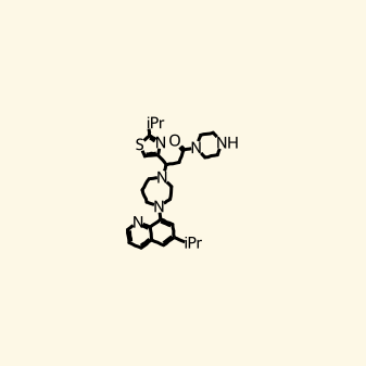 CC(C)c1cc(N2CCCN(C(CC(=O)N3CCNCC3)c3csc(C(C)C)n3)CC2)c2ncccc2c1